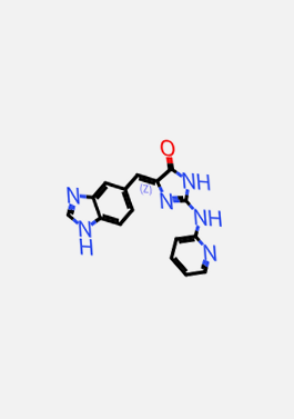 O=C1NC(Nc2ccccn2)=N/C1=C\c1ccc2[nH]cnc2c1